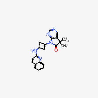 CC1(C)C(=O)N(C2CC(Nc3ccc4ccccc4n3)C2)c2ncncc21